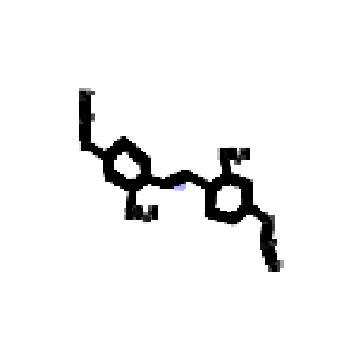 [N-]=[N+]=Nc1ccc(/C=C/c2ccc(N=[N+]=[N-])cc2S(=O)(=O)O)c(S(=O)(=O)O)c1